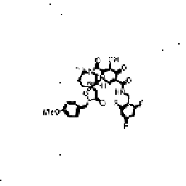 COc1ccc(CN2O[C@@]3(CC[C@H](C)N4C[C@H]3n3cc(C(=O)NCc5c(F)cc(F)cc5F)c(=O)c(O)c3C4=O)CC2=O)cc1